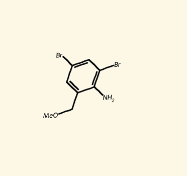 COCc1cc(Br)cc(Br)c1N